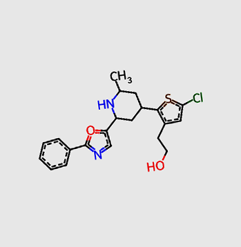 CC1CC(c2sc(Cl)cc2CCO)CC(c2cnc(-c3ccccc3)o2)N1